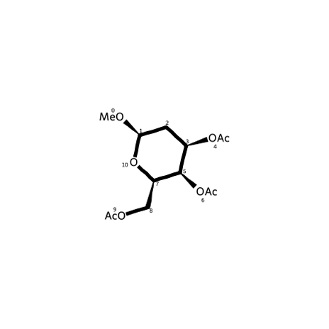 CO[C@H]1C[C@@H](OC(C)=O)[C@@H](OC(C)=O)[C@@H](COC(C)=O)O1